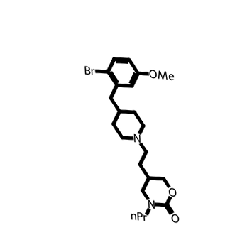 CCCN1CC(CCN2CCC(Cc3cc(OC)ccc3Br)CC2)COC1=O